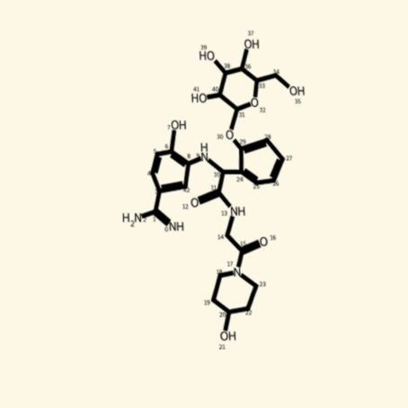 N=C(N)c1ccc(O)c(NC(C(=O)NCC(=O)N2CCC(O)CC2)c2ccccc2OC2OC(CO)C(O)C(O)C2O)c1